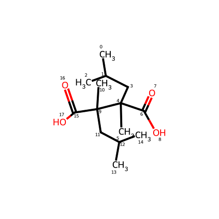 CC(C)CC(C)(C(=O)O)C(C)(CC(C)C)C(=O)O